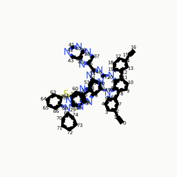 C#Cc1ccc2c(c1)c1ccc3c4cc(C#C)ccc4n(-c4nc(-c5cnc6ncncc6n5)nc(-c5cnc6ncncc6n5)n4)c3c1n2-c1cccc(-c2ccc3c(c2)Sc2ccccc2N3c2ccccc2)c1